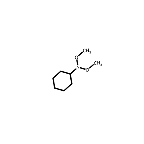 CON(OC)C1CCCCC1